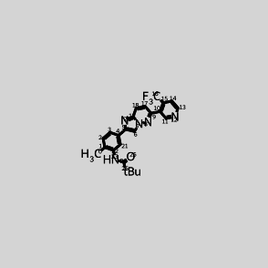 Cc1ccc(-c2cn3nc(-c4cnccc4C(F)(F)F)ccc3n2)cc1NC(=O)C(C)(C)C